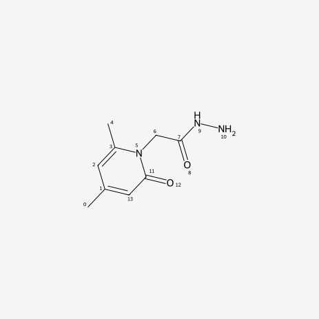 Cc1cc(C)n(CC(=O)NN)c(=O)c1